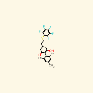 CCc1cc(C)cc(CC)c1C1=C(O)CC(CCSc2c(F)c(F)c(F)c(F)c2F)CC1=O